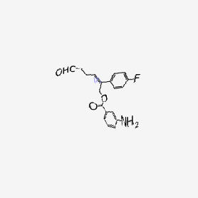 Nc1cccc(C(=O)OC/C(=C\CCC=O)c2ccc(F)cc2)c1